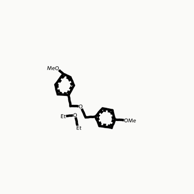 CCOCC.COc1ccc(COCc2ccc(OC)cc2)cc1